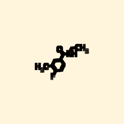 CCNC(=O)c1ccc(F)c(C)c1